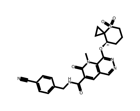 Cn1c(=O)c(C(=O)NCc2ccc(C#N)cc2)cc2cnnc(O[C@@H]3CCCS(=O)(=O)C34CC4)c21